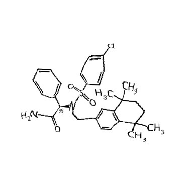 CC1(C)CCC(C)(C)c2cc(CN([C@@H](C(N)=O)c3ccccc3)S(=O)(=O)c3ccc(Cl)cc3)ccc21